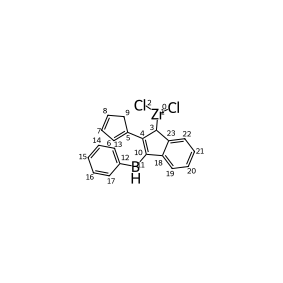 [Cl][Zr]([Cl])[CH]1C(C2=CC=CC2)=C(Bc2ccccc2)c2ccccc21